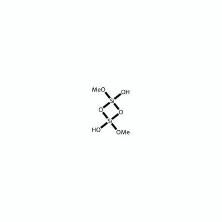 CO[Si]1(O)O[Si](O)(OC)O1